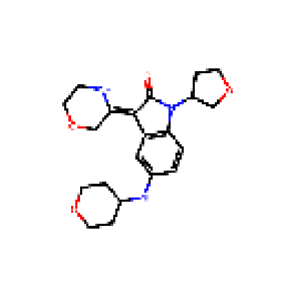 O=C1/C(=C2/COCCN2)c2cc(NC3CCOCC3)ccc2N1C1CCOC1